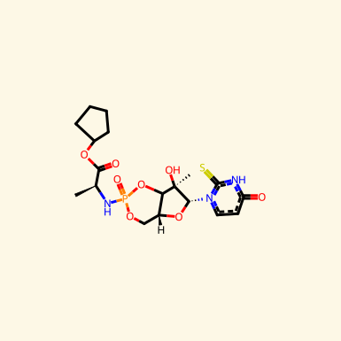 C[C@H](NP1(=O)OC[C@H]2O[C@@H](n3ccc(=O)[nH]c3=S)[C@](C)(O)C2O1)C(=O)OC1CCCC1